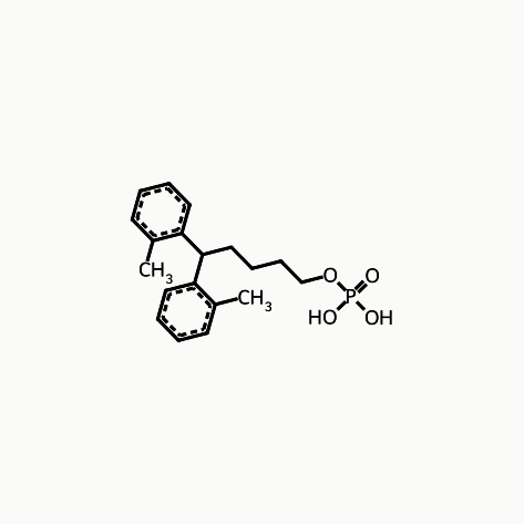 Cc1ccccc1C(CCCCOP(=O)(O)O)c1ccccc1C